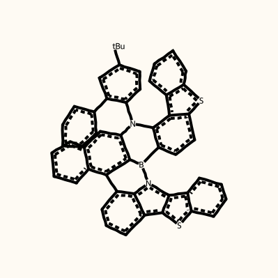 CC(C)(C)c1ccc(N2c3cc4ccccc4c4c3B(c3ccc5sc6ccccc6c5c32)n2c3c-4cccc3c3sc4ccccc4c32)c(-c2ccccc2)c1